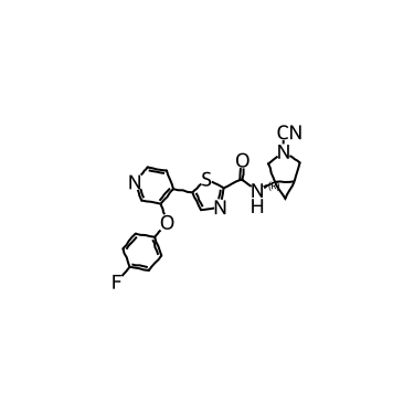 N#CN1CC2C[C@]2(NC(=O)c2ncc(-c3ccncc3Oc3ccc(F)cc3)s2)C1